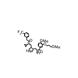 COCCCOc1cc(C(=O)N(CC2CNCC2CN(C(=O)Cc2cccc(C(F)(F)F)c2)C2CC2)C(C)C)ccc1OC